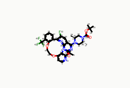 CC(C)c1nccc2c1-n1c(=O)nc(N3C[C@@H](C)N(C(=O)OC(C)(C)C)C[C@@H]3C)c3cc(F)c(nc31)-c1cccc(C(F)(F)F)c1OCCO2